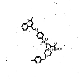 Cc1ccc(CN2CCN(C(CNS(=O)(=O)c3ccc(OCc4cc(C)nc5ccccc45)cc3)C(=O)NO)CC2)cc1